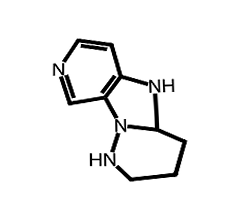 c1cc2c(cn1)N1NCCCC1N2